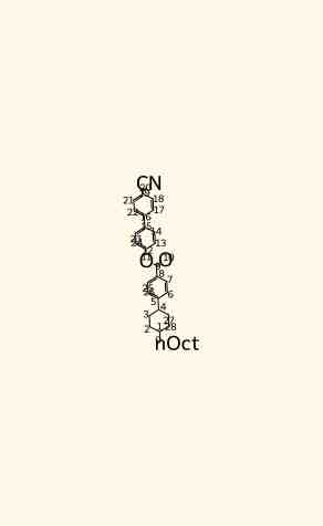 CCCCCCCCC1CCC(c2ccc(C(=O)Oc3ccc(-c4ccc(C#N)cc4)cc3)cc2)CC1